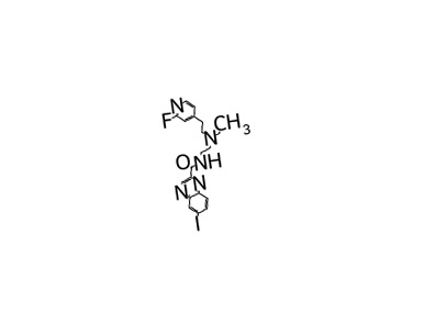 CCN(CCNC(=O)c1cnc2cc(I)ccc2n1)CCc1ccnc(F)c1